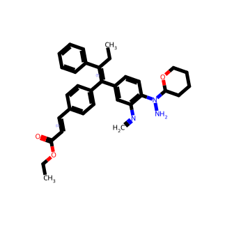 C=Nc1cc(/C(=C(\CC)c2ccccc2)c2ccc(/C=C/C(=O)OCC)cc2)ccc1N(N)C1CCCCO1